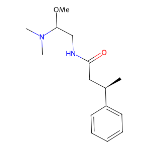 COC(CNC(=O)C[C@@H](C)c1ccccc1)N(C)C